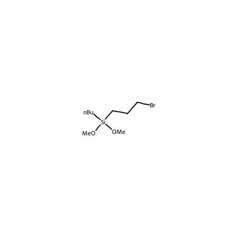 CCCC[Si](CCCBr)(OC)OC